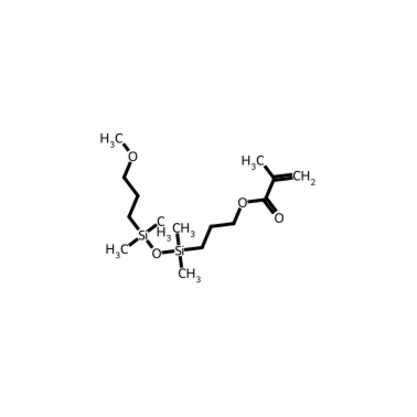 C=C(C)C(=O)OCCC[Si](C)(C)O[Si](C)(C)CCCOC